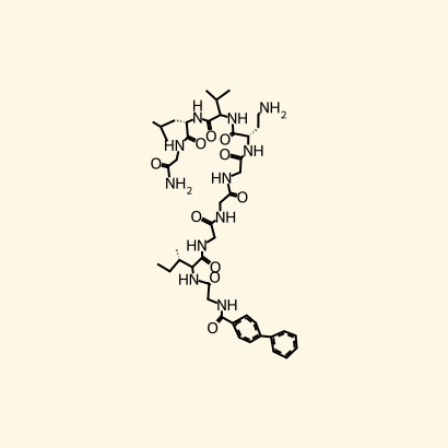 CC[C@H](C)C(NC(=O)CNC(=O)c1ccc(-c2ccccc2)cc1)C(=O)NCC(=O)NCC(=O)NCC(=O)N[C@@H](CCN)C(=O)NC(C(=O)N[C@@H](CC(C)C)C(=O)NCC(N)=O)C(C)C